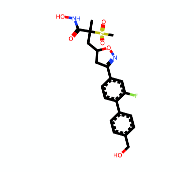 CC(CC1CC(c2ccc(-c3ccc(CO)cc3)c(F)c2)=NO1)(C(=O)NO)S(C)(=O)=O